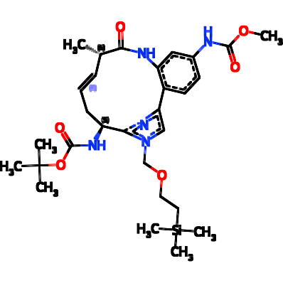 COC(=O)Nc1ccc2c(c1)NC(=O)[C@@H](C)/C=C/C[C@H](NC(=O)OC(C)(C)C)c1nc-2cn1COCC[Si](C)(C)C